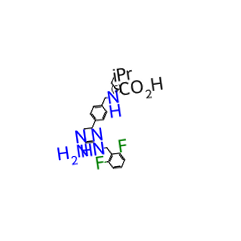 CC(C)C[C@H](NCc1ccc(-c2cnc(N)c(NCc3c(F)cccc3F)n2)cc1)C(=O)O